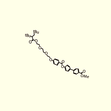 COC(=O)c1ccc(-c2ccc(OC(=O)c3ccc(OCCOCCOCCOC(=O)C(CC(C)(C)C)C(C)(C)C)cc3)cc2)cc1